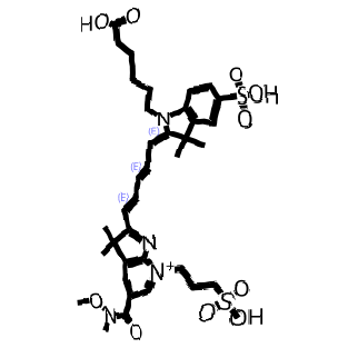 CON(C)C(=O)c1cc2c([n+](CCCS(=O)(=O)O)c1)N=C(/C=C/C=C/C=C1/N(CCCCCC(=O)O)c3ccc(S(=O)(=O)O)cc3C1(C)C)C2(C)C